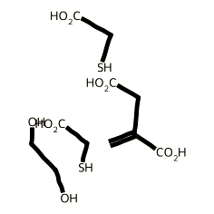 C=C(CC(=O)O)C(=O)O.O=C(O)CS.O=C(O)CS.OCCO